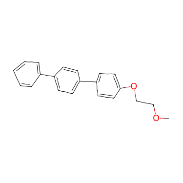 COCCOc1ccc(-c2ccc(-c3ccccc3)cc2)cc1